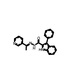 C/C(=N\NC(=O)c1[nH]c2ccccc2c1-c1ccccc1)c1cccnc1